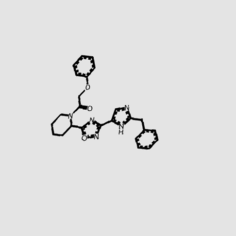 O=C(COc1ccccc1)N1CCCCC1c1nc(-c2cnc(Cc3ccccc3)[nH]2)no1